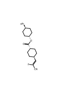 CCC[C@H]1CC[C@H](OC(=O)[C@H]2CC[C@H](C=C(F)C#N)CC2)CC1